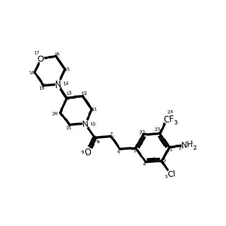 Nc1c(Cl)cc(C[CH]C(=O)N2CCC(N3CCOCC3)CC2)cc1C(F)(F)F